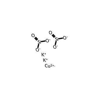 O=[Si]([O-])[O-].O=[Si]([O-])[O-].[Cu+2].[K+].[K+]